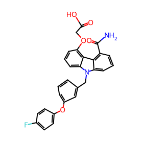 NC(=O)c1cccc2c1c1c(OCC(=O)O)cccc1n2Cc1cccc(Oc2ccc(F)cc2)c1